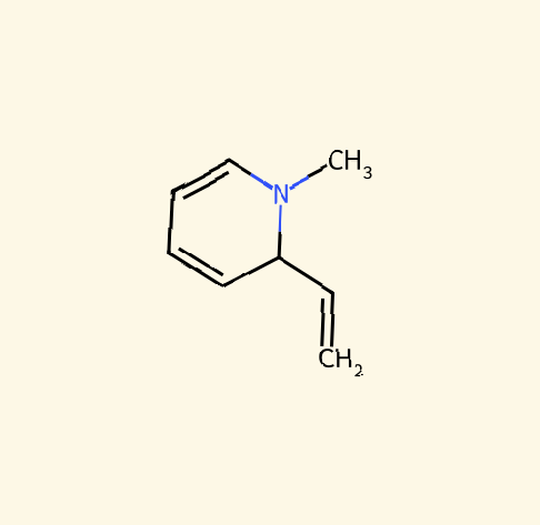 C=CC1C=CC=CN1C